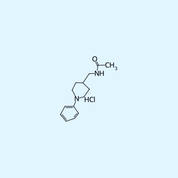 CC(=O)NCC1CCN(c2ccccc2)CC1.Cl